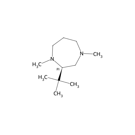 CN1CCCN(C)[C@H](C(C)(C)C)C1